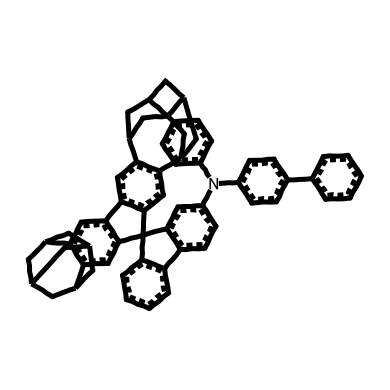 c1ccc(-c2ccc(N(c3ccccc3)c3ccc4c(c3)C3(c5ccccc5-4)c4cc5c(cc4-c4cc6c(cc43)C3CC4CC7CC6CC74C3)C3CC4CC(C3)CC5C4)cc2)cc1